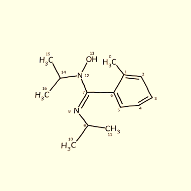 Cc1ccccc1C(=NC(C)C)N(O)C(C)C